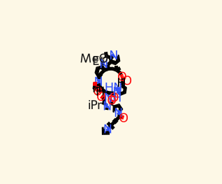 CCn1c(-c2cccnc2[C@H](C)OC)c2c3cc(ccc31)N1CCO[C@@H](C[C@H](NC(=O)[C@H](C(C)C)N(C)C(=O)[C@H]3CCN(C(=O)C#CC(C)(C)N4CCC4)C3)C(=O)N3CCC[C@H](N3)C(=O)OCC(C)(C)C2)[C@@H]1C